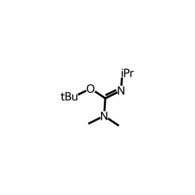 CC(C)N=C(OC(C)(C)C)N(C)C